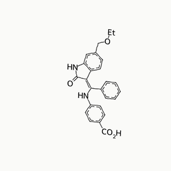 CCOCc1ccc2c(c1)NC(=O)/C2=C(\Nc1ccc(C(=O)O)cc1)c1ccccc1